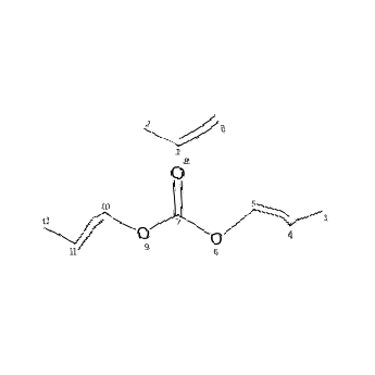 C=CC.CC=COC(=O)OC=CC